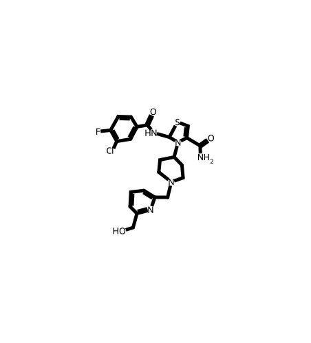 NC(=O)C1=CSC(NC(=O)c2ccc(F)c(Cl)c2)N1C1CCN(Cc2cccc(CO)n2)CC1